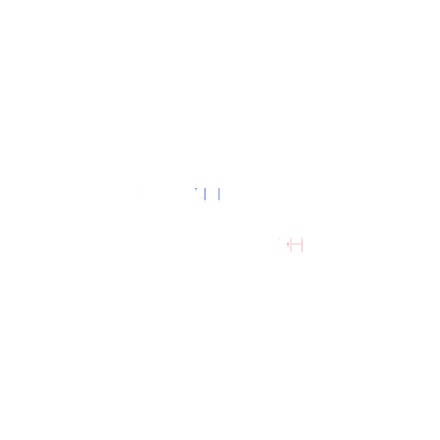 [CH2]NCO